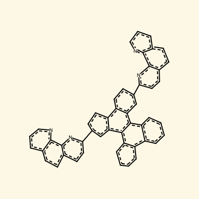 c1cnc2c(c1)ccc1ccc(-c3ccc4c5ccc(-c6ccc7ccc8cccnc8c7n6)cc5c5c6ccccc6c6ccccc6c5c4c3)nc12